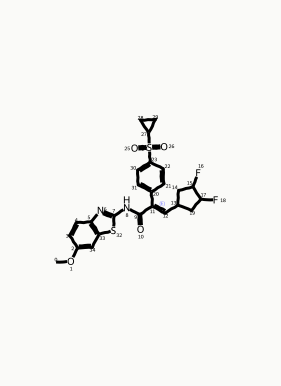 COc1ccc2nc(NC(=O)/C(=C/C3CC(F)C(F)C3)c3ccc(S(=O)(=O)C4CC4)cc3)sc2c1